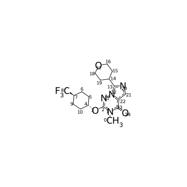 Cn1c(O[C@H]2CC[C@H](C(F)(F)F)CC2)nn2c(C3CCOCC3)ncc2c1=O